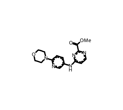 COC(=O)c1nccc(Nc2ccc(N3CCOCC3)nc2)n1